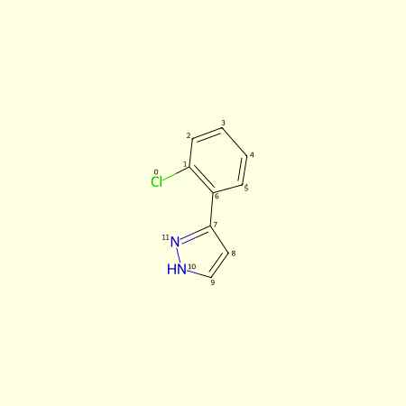 Clc1ccc[c]c1-c1cc[nH]n1